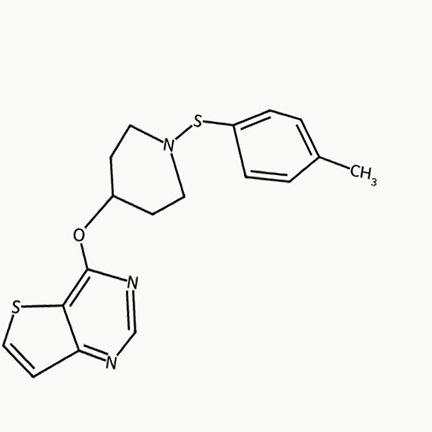 Cc1ccc(SN2CCC(Oc3ncnc4ccsc34)CC2)cc1